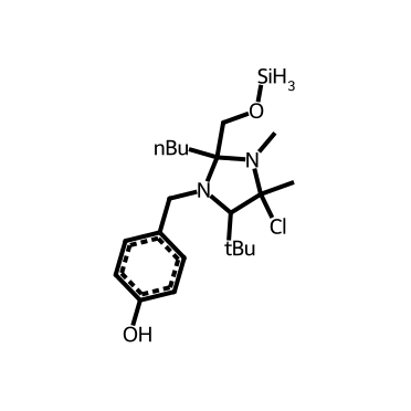 CCCCC1(CO[SiH3])N(Cc2ccc(O)cc2)C(C(C)(C)C)C(C)(Cl)N1C